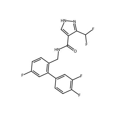 O=C(NCc1ccc(F)cc1-c1ccc(F)c(F)c1)c1c[nH]nc1C(F)F